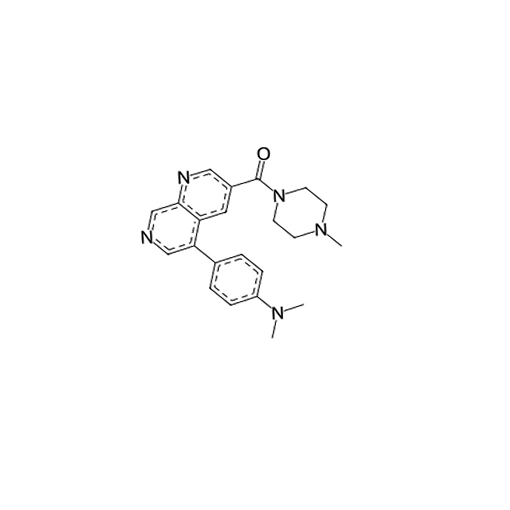 CN1CCN(C(=O)c2cnc3cncc(-c4ccc(N(C)C)cc4)c3c2)CC1